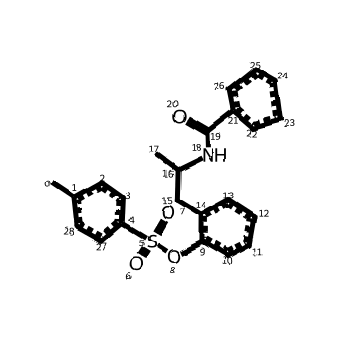 Cc1ccc(S(=O)(=O)Oc2ccccc2CC(C)NC(=O)c2ccccc2)cc1